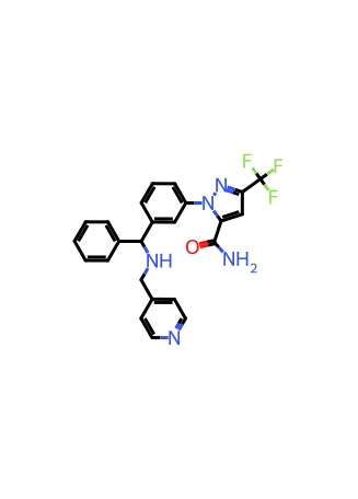 NC(=O)c1cc(C(F)(F)F)nn1-c1cccc(C(NCc2ccncc2)c2ccccc2)c1